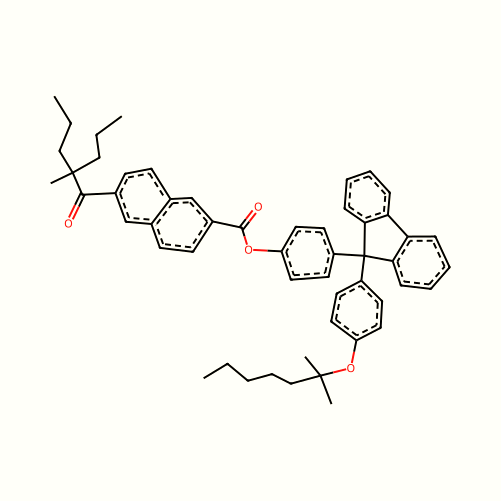 CCCCCC(C)(C)Oc1ccc(C2(c3ccc(OC(=O)c4ccc5cc(C(=O)C(C)(CCC)CCC)ccc5c4)cc3)c3ccccc3-c3ccccc32)cc1